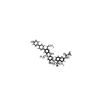 CCc1cc(Nc2ncc(Br)c(Nc3ccc4nc(NC(=O)C5CC5)ccc4c3P(C)(C)=O)n2)c(OC)cc1N1CCC(N2CCNCC2)CC1